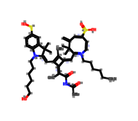 C=C1\C=C(S(=O)O)/C=C\[N+](CCCCCC(=O)O)=C(\C=C2C(OC)=C(/C=C3/N(CCCCCCO)c4ccc(SO)cc4C3(C)C)C/2=C(\C=O)C(=O)NC(=O)NC)C1(C)C